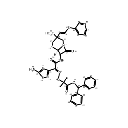 CC(C)(ON=C(C(=O)NC1C(=O)N2CC(C=CSc3cccnc3)(C(=O)O)CS[C@H]12)c1nsc(N)n1)C(=O)OC(c1ccccc1)c1ccccc1